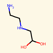 NCCNCC(O)O